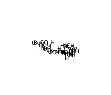 Cc1n[nH]c(C)c1-c1ccc(NC(=O)[C@@H](NC(=O)c2ccnn2CC(O)CNC(=O)Cn2cc(COCC(=O)N3CC(OCCNC(=O)COc4cccc(Oc5ccc(C(=O)N[C@@H](CCC(C)(C)C)C(=O)O)cn5)c4)C3)nn2)C(C2CC2)C2CC2)cc1